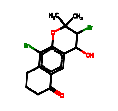 CC1(C)Oc2c(cc3c(c2Br)CCCC3=O)C(O)C1Br